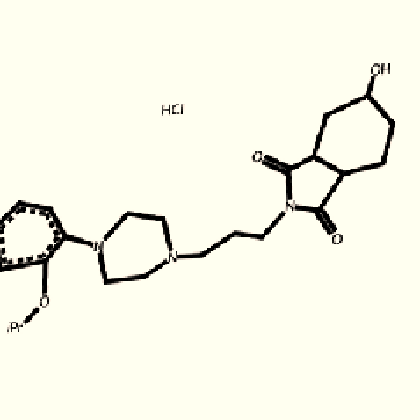 CC(C)Oc1ccccc1N1CCN(CCCN2C(=O)C3CCC(O)CC3C2=O)CC1.Cl